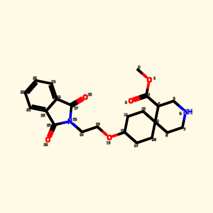 COC(=O)C1CNCCC12CCC(OCCN1C(=O)c3ccccc3C1=O)CC2